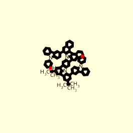 CC(C)(C)c1cc(-c2ccc3c(c2)c2ccccc2n3-c2ccccc2)c2c(c1)c1cc(C(C)(C)C)cc3c4cc5c(cc4n2c31)c1cc2ccccc2c2c3c4ccccc4cc(-c4ccc6c(c4)c4ccccc4n6-c4ccccc4)c3n5c12